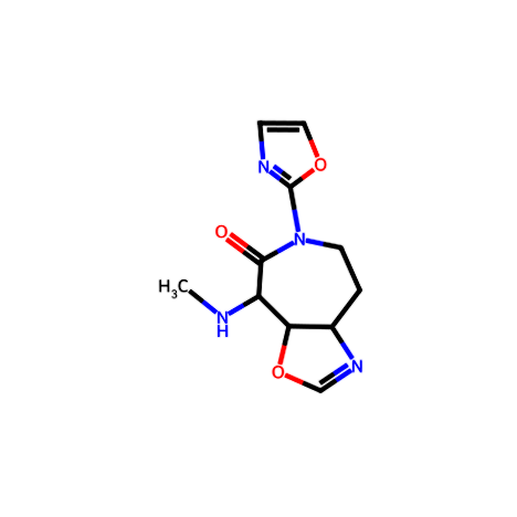 CNC1C(=O)N(c2ncco2)CCC2N=COC21